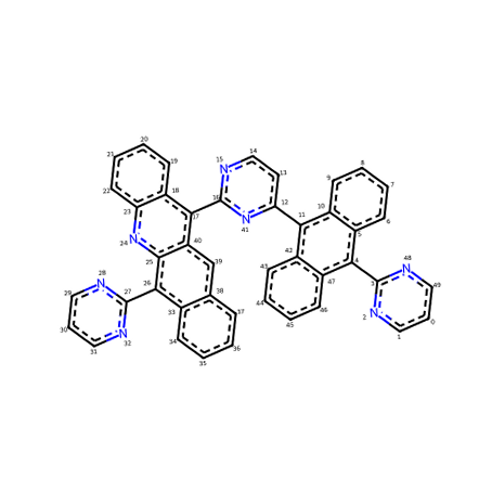 c1cnc(-c2c3ccccc3c(-c3ccnc(-c4c5ccccc5nc5c(-c6ncccn6)c6ccccc6cc45)n3)c3ccccc23)nc1